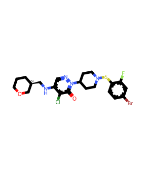 O=c1c(Cl)c(NC[C@@H]2CCCOC2)cnn1C1CCN(Sc2ccc(Br)cc2F)CC1